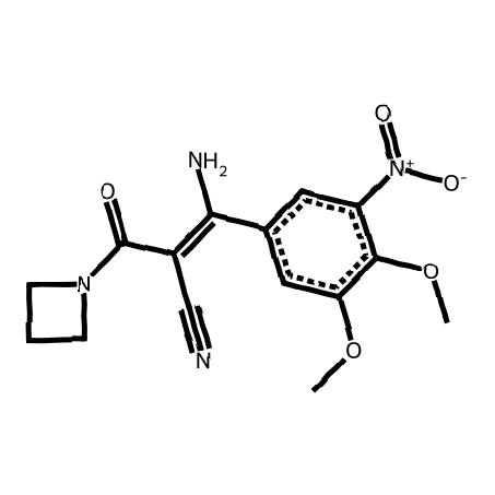 COc1cc(/C(N)=C(\C#N)C(=O)N2CCC2)cc([N+](=O)[O-])c1OC